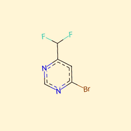 FC(F)c1cc(Br)ncn1